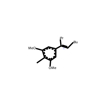 CCC(C)/C=C(/c1cc(OC)c(C)c(OC)c1)C(C)C